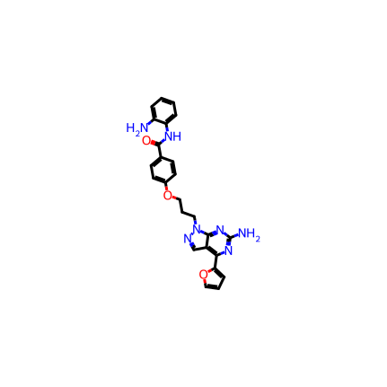 Nc1nc(-c2ccco2)c2cnn(CCCOc3ccc(C(=O)Nc4ccccc4N)cc3)c2n1